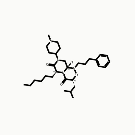 CCCCCC[C@H]1C(=O)N(C2CCN(C)CC2)C[C@@H]2N(CCCc3ccccc3)O[C@H](CC(C)C)C(=O)N21